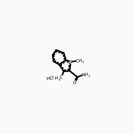 Cc1c(C(N)=O)n(C)c2ccccc12.Cl